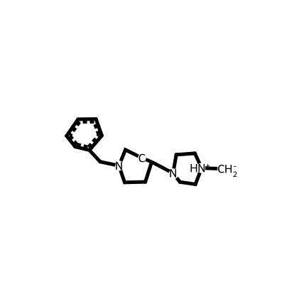 [CH2-][NH+]1CCN(C2CCN(Cc3ccccc3)CC2)CC1